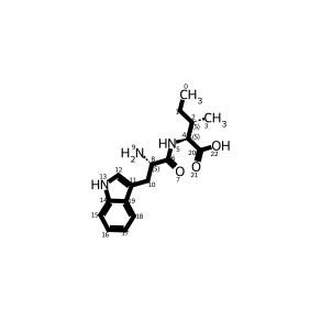 CC[C@H](C)[C@H](NC(=O)[C@@H](N)Cc1c[nH]c2ccccc12)C(=O)O